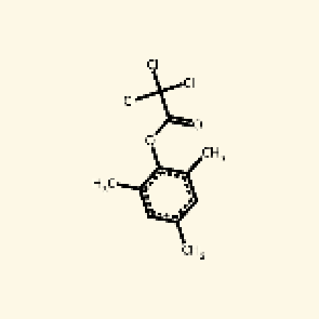 Cc1cc(C)c(OC(=O)C(Cl)(Cl)Cl)c(C)c1